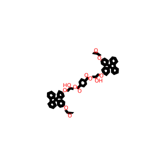 O=C(OCC(O)COc1ccc(C2(c3ccc(OCC4CO4)cc3)c3ccccc3-c3ccccc32)cc1)C1CCC(C(=O)OCC(O)COc2ccc(C3(c4ccc(OCC5CO5)cc4)c4ccccc4-c4ccccc43)cc2)CC1